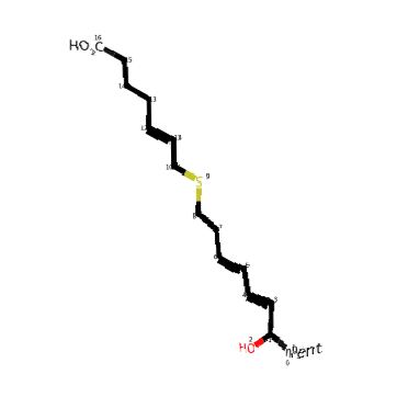 CCCCCC(O)C=CC=CCCSCC=CCCCC(=O)O